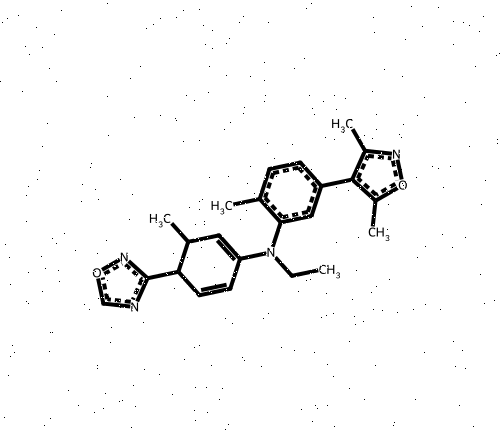 CCN(C1=CC(C)C(c2ncon2)C=C1)c1cc(-c2c(C)noc2C)ccc1C